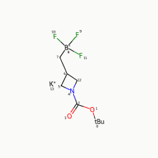 CC(C)(C)OC(=O)N1CC(C[B-](F)(F)F)C1.[K+]